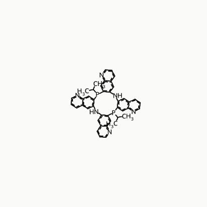 CC(C)P1c2cc3ncccc3cc2Nc2cc3cccnc3cc2P(C(C)C)c2cc3ncccc3cc2Nc2cc3cccnc3cc21